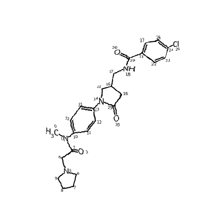 CN(C(=O)CN1CCCC1)c1ccc(N2CC(CNC(=O)c3ccc(Cl)cc3)CC2=O)cc1